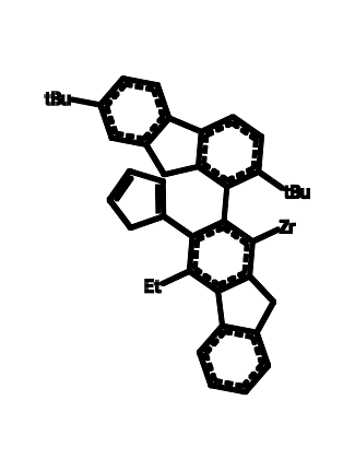 CCc1c(C2=CC=CC2)c(-c2c(C(C)(C)C)ccc3c2Cc2cc(C(C)(C)C)ccc2-3)[c]([Zr])c2c1-c1ccccc1C2